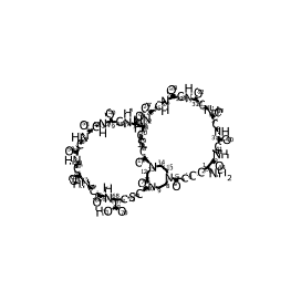 N[C@H]1CCCC(=O)N2CCN3CCN(CC2)C(=O)CSC[C@H](NC(=O)CNC(=O)CNC(=O)CNC(=O)CNC(=O)CNC1=O)C(=O)NCC(=O)NCC(=O)NCC(=O)NCC(=O)NCC(=O)N[C@H](C(=O)O)CSCC3=O